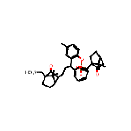 Cc1ccc(OS(=O)(=O)CC23CCC(CC2=O)C3(C)C)c(C(CCC2C(=O)C3(CS(=O)(=O)O)CCC2C3(C)C)c2ccccc2)c1